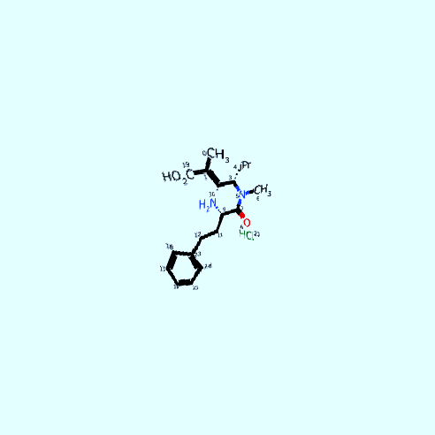 CC(=C[C@H](C(C)C)N(C)C(=O)[C@@H](N)CCc1ccccc1)C(=O)O.Cl